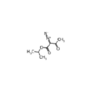 CC(=O)C(=[N+]=[N-])C(=O)OC(C)C